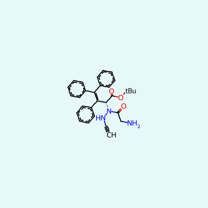 C#CNN(C(=O)CN)[C@@H](C(=O)OC(C)(C)C)C(=C(c1ccccc1)c1ccccc1)c1ccccc1